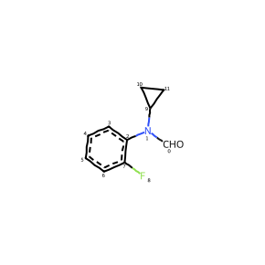 O=CN(c1ccccc1F)C1CC1